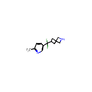 FC(F)(F)c1ccc(C(F)(F)C2CC3(CNC3)C2)cn1